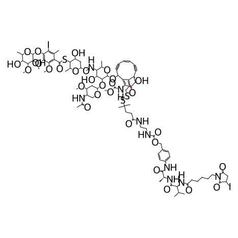 COC(=O)NC1=C2/C(=C\CSSC(C)(C)CCC(=O)NCCNC(=O)OCc3ccc(NC(=O)[C@H](C)NC(=O)[C@@H](NC(=O)CCCCCN4C(=O)CC(I)C4=O)C(C)C)cc3)[C@](O)(C#C/C=C\C#C[C@@H]2OC2OC(C)C(NOC3CC(O)C(SC(=O)c4c(C)c(I)c(OC5OC(C)C(O)C(OC)C5O)c(OC)c4OC)C(C)O3)C(O)C2OC2CC(OC)C(NC(C)=O)CO2)CC1=O